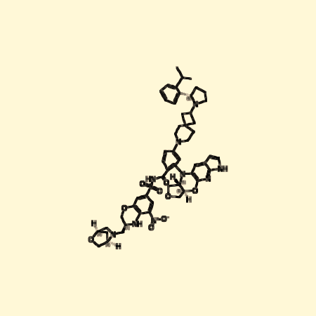 CC(C)c1ccccc1[C@@H]1CCCN1C1CC2(CCN(c3ccc(C(=O)NS(=O)(=O)c4cc5c(c([N+](=O)[O-])c4)N[C@@H](CN4C[C@H]6C[C@@H]4CO6)CO5)c(N4c5cc6cc[nH]c6nc5O[C@H]5COC[C@@H]54)c3)CC2)C1